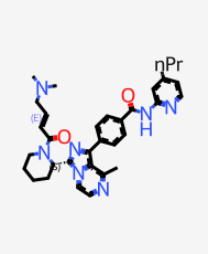 CCCc1ccnc(NC(=O)c2ccc(-c3nc([C@@H]4CCCCN4C(=O)/C=C/CN(C)C)n4ccnc(C)c34)cc2)c1